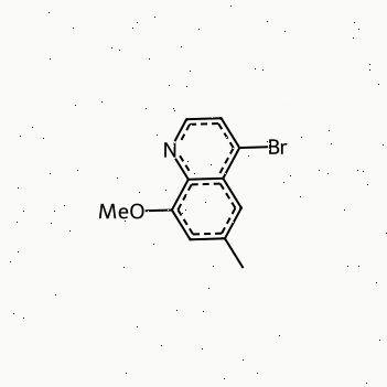 COc1cc(C)cc2c(Br)ccnc12